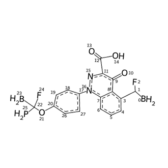 BC(F)c1cccc2c1c(=O)c(C(=O)O)nn2-c1ccc(OC(B)(F)P)cc1